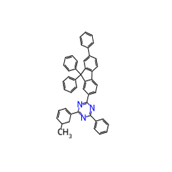 CC1C=CC=C(c2nc(-c3ccccc3)nc(-c3ccc4c(c3)C(c3ccccc3)(c3ccccc3)c3cc(-c5ccccc5)ccc3-4)n2)C1